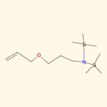 C=CCOCCCN([Si](C)(C)C)[Si](C)(C)C